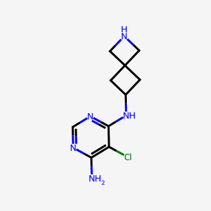 Nc1ncnc(NC2CC3(CNC3)C2)c1Cl